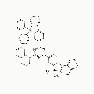 CC1(C)c2cc(-c3nc(-c4ccc5c(c4)C(c4ccccc4)(c4ccccc4)c4ccccc4-5)nc(-c4cccc5ccccc45)n3)ccc2-c2c1ccc1ccccc21